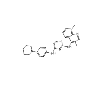 Cc1nnc2c(C)cccc2c1Nc1ccnc(Nc2ccc(N3CCCCC3)cc2)n1